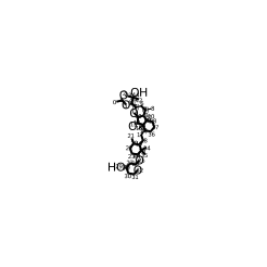 CC(=O)O[C@@H]([C@H]1C[C@@H](C)C2C(O1)C(=O)[C@@]1(C)[C@H](CCC3C(C)CC[C@H](OC4C[C@@H](O)CCO4)C3(C)C)CCC[C@]21C)C(C)(C)O